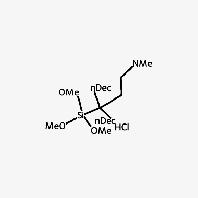 CCCCCCCCCCC(CCCCCCCCCC)(CCNC)[Si](OC)(OC)OC.Cl